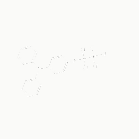 ClC(Cl)(Cl)C(Cl)(Cl)Cl.c1ccc(P(c2ccccc2)c2ccccc2)cc1